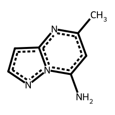 Cc1cc(N)n2nccc2n1